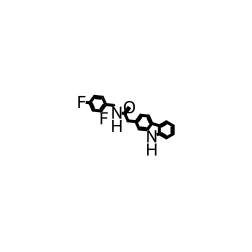 O=C(Cc1ccc2c(c1)[nH]c1ccccc12)NCc1ccc(F)cc1F